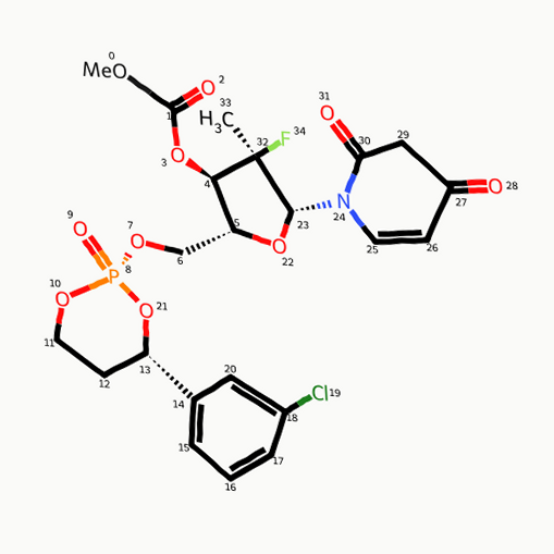 COC(=O)O[C@@H]1[C@@H](CO[P@@]2(=O)OCC[C@@H](c3cccc(Cl)c3)O2)O[C@@H](N2C=CC(=O)CC2=O)[C@]1(C)F